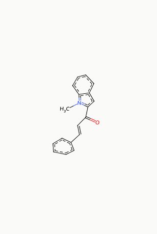 Cn1c(C(=O)C=Cc2ccccc2)cc2ccccc21